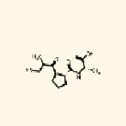 CC(CS)C(=O)N1CCC[C@H]1C(=O)N[C@@H](C)C(=O)O